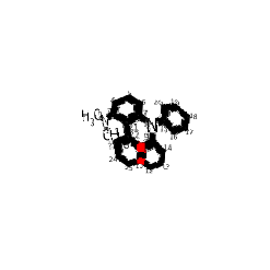 CN(C)c1cccc(N(c2ccccc2)c2ccccc2)c1-c1ccccc1